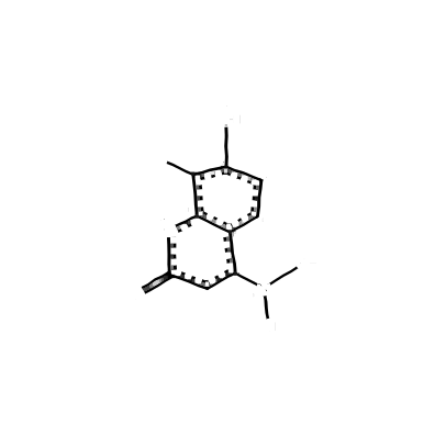 Cc1c(O)ccc2c(N(C)C)cc(=O)oc12